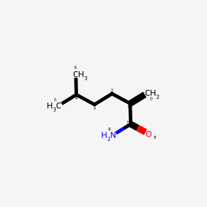 C=C(CCC(C)C)C(N)=O